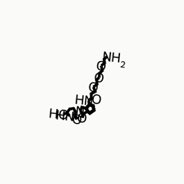 NCCOCCOCCOCCC(=O)Nc1cccc2c1CN(C1CCC(O)NC1=O)C2=O